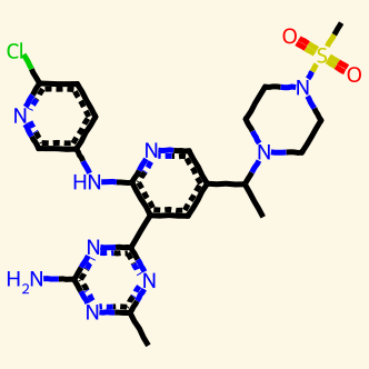 Cc1nc(N)nc(-c2cc(C(C)N3CCN(S(C)(=O)=O)CC3)cnc2Nc2ccc(Cl)nc2)n1